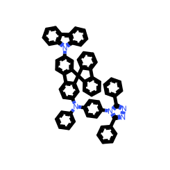 c1ccc(-c2nnc(-c3ccccc3)n2-c2ccc(N(c3ccccc3)c3ccc4c(c3)C3(c5ccccc5-c5ccccc53)c3cc(-n5c6ccccc6c6ccccc65)ccc3-4)cc2)cc1